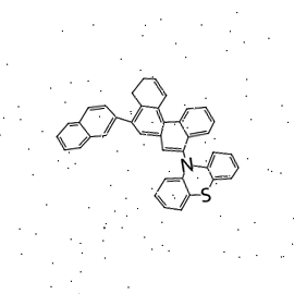 C1=Cc2c(c(-c3ccc4ccccc4c3)cc3cc(N4c5ccccc5Sc5ccccc54)c4ccccc4c23)CC1